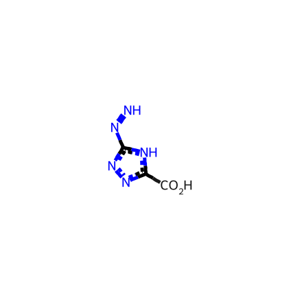 N=Nc1nnc(C(=O)O)[nH]1